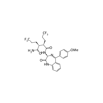 COc1ccc(C2=N[C@H](NC(=O)[C@H](CCC(F)(F)F)[C@H](CCC(F)(F)F)C(N)=O)C(=O)Nc3ccccc32)cc1